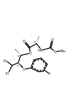 CCC(CC)[C@H](Oc1cccc(F)c1)[C@H](C)OC(=O)[C@H](C)NC(=O)OC(C)(C)C